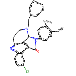 COc1ccc(N2C(=O)c3c4c(nc5ccc(Cl)cc35)CCN(CCc3ccccc3)C42)cc1OC